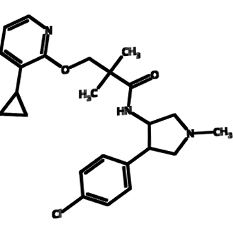 CN1CC(NC(=O)C(C)(C)COc2ncccc2C2CC2)C(c2ccc(Cl)cc2)C1